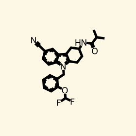 CC(C)C(=O)NC1CCc2c(c3cc(C#N)ccc3n2Cc2ccccc2OC(F)F)C1